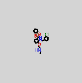 CCNCCOc1cccc2c(S(=O)(=O)c3ccccc3)nn(Cc3cccc(Cl)c3)c12